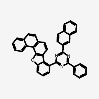 c1ccc(-c2nc(-c3ccc4ccccc4c3)nc(-c3cccc4oc5c(ccc6ccc7ccccc7c65)c34)n2)cc1